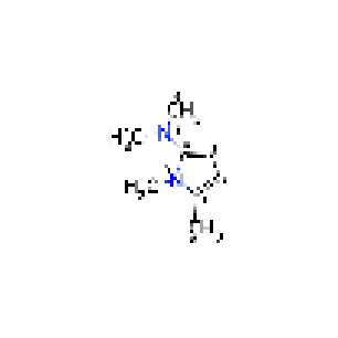 Cc1ccc(N(C)C)n1C